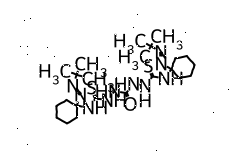 CC(C)(C)/N=N/C1(NC(=S)NNC(=O)NNC(=S)NC2(/N=N/C(C)(C)C)CCCCC2)CCCCC1